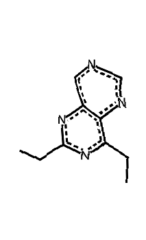 CCc1nc(CC)c2ncncc2n1